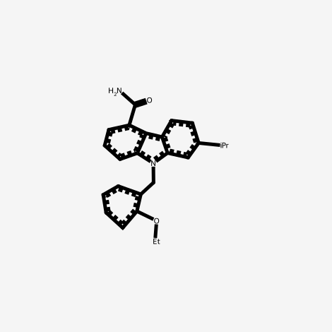 CCOc1ccccc1Cn1c2cc(C(C)C)c[c]c2c2c(C(N)=O)cccc21